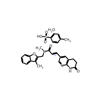 Cc1c(CN(C)C(=O)/C=C/c2cnc3c(c2)CCC(=O)N3)oc2ccccc12.Cc1ccc(S(=O)(=O)O)cc1.O